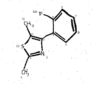 Cc1nc(-c2ccccc2F)c(C)s1